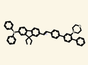 CCC1(CC)c2cc(/C=C/c3ccc(-c4ccc(-c5ccccc5)c(N5CCOCC5)c4)cc3)ccc2-c2ccc(N(c3ccccc3)c3ccccc3)cc21